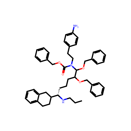 CCCN[C@@H](CCCC(OCc1ccccc1)C(OCc1ccccc1)N(CCc1ccc(N)cc1)C(=O)OCc1ccccc1)C1CCc2ccccc2C1